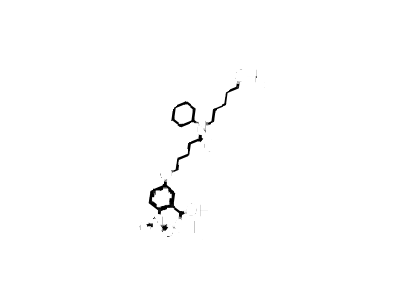 CCCCCCN(C(=O)CCCCOc1ccc([N+](=O)[O-])c(C(C)O)c1)C1CCCCC1